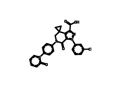 O=C(O)c1nn(-c2cccc(Cl)c2)c2c1C1(CC1)CN(c1ccc(-n3ccccc3=O)cc1)C2=O